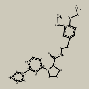 CCOc1ccc(CCNC(=O)C2CCCN2c2ccnc(-n3ccnc3)n2)cc1OC